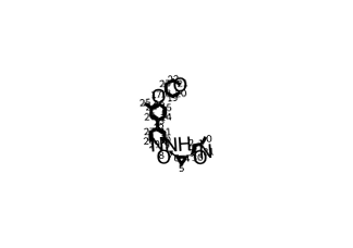 Cc1cc([C@@H]2C[C@H]2C(=O)Nc2cc(-c3ccc(OC4CCOCC4)c(C)c3)ccn2)on1